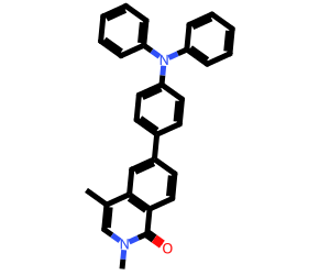 Cc1cn(C)c(=O)c2ccc(-c3ccc(N(c4ccccc4)c4ccccc4)cc3)cc12